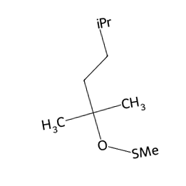 CSOC(C)(C)CCC(C)C